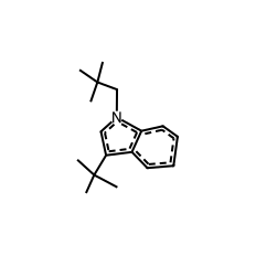 CC(C)(C)Cn1cc(C(C)(C)C)c2ccccc21